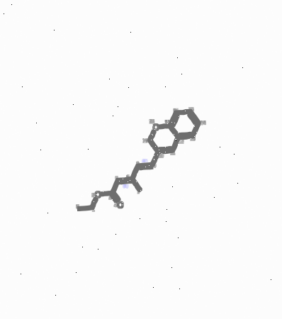 CCOC(=O)/C=C(C)/C=C/C1=Cc2ccccc2OC1